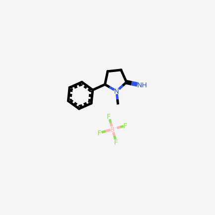 CN1C(=N)CCC1c1ccccc1.F[B-](F)(F)F